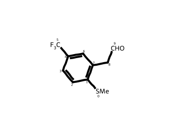 CSc1ccc(C(F)(F)F)cc1CC=O